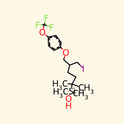 CC(C)(CCC(CI)COc1ccc(OC(F)(F)F)cc1)[Si](C)(C)O